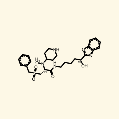 CN(C1CCNCC1)[C@@H](CS(=O)(=O)Cc1ccccc1)C(=O)NCCCC[C@H](O)c1nc2ccccc2o1